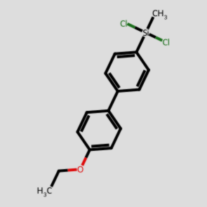 CCOc1ccc(-c2ccc([Si](C)(Cl)Cl)cc2)cc1